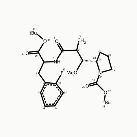 COC(C(C)C(=O)NC(Cc1ccccc1F)C(=O)OC(C)(C)C)[C@@H]1CCCN1C(=O)OC(C)(C)C